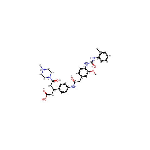 COc1cc(CC(=O)Nc2ccc(C(CC(=O)O)CC(=O)N3CCN(C)CC3)cc2)ccc1NC(=O)Nc1ccccc1C